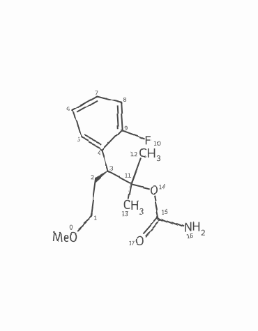 COCC[C@@H](c1ccccc1F)C(C)(C)OC(N)=O